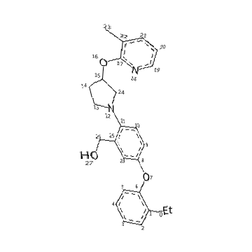 CCc1ccccc1Oc1ccc(N2CCC(Oc3ncccc3C)C2)c(CO)c1